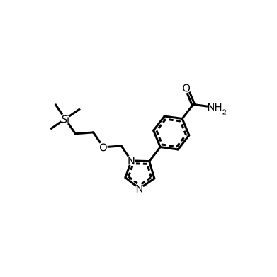 C[Si](C)(C)CCOCn1cncc1-c1ccc(C(N)=O)cc1